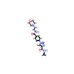 Cc1c(C(=O)NC2CC2)nnn1-c1ccc(C(=O)NCCN2CCOCC2)cc1